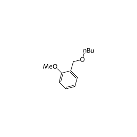 [CH2]CCCOCc1ccccc1OC